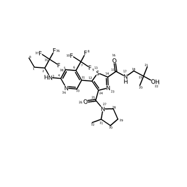 CCC(Nc1cc(C(F)(F)F)c(-c2sc(C(=O)NCC(C)(C)O)nc2C(=O)N2CCCC2C)cn1)C(F)(F)F